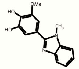 COc1cc(-c2nc3ccccc3n2C)cc(O)c1O